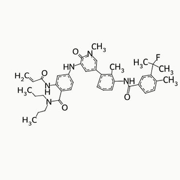 C=CC(=O)Nc1cc(Nc2cc(-c3cccc(NC(=O)c4ccc(C)c(C(C)(C)F)c4)c3C)cn(C)c2=O)ccc1C(=O)N(CCC)CCC